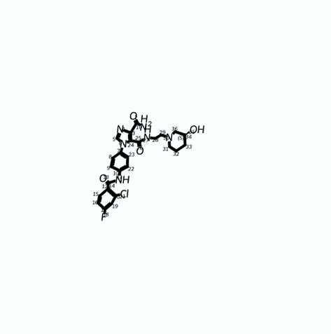 NC(=O)c1ncn(-c2ccc(NC(=O)c3ccc(F)cc3Cl)cc2)c1C(=O)NCCN1CCC[C@H](O)C1